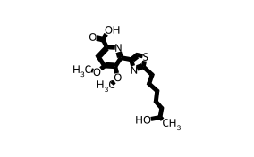 COc1cc(C(=O)O)nc(-c2csc(CCCCCC(C)O)n2)c1OC